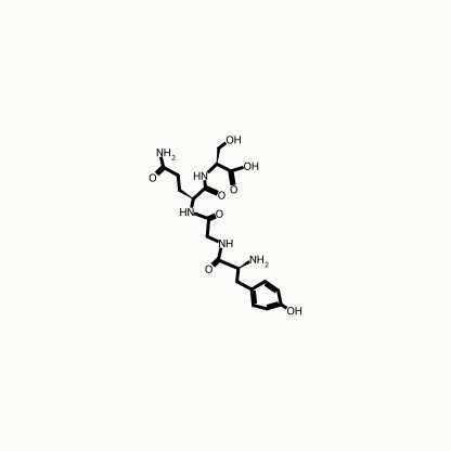 NC(=O)CC[C@H](NC(=O)CNC(=O)[C@@H](N)Cc1ccc(O)cc1)C(=O)N[C@@H](CO)C(=O)O